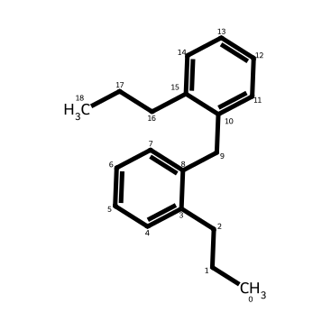 CCCc1ccccc1Cc1ccccc1CCC